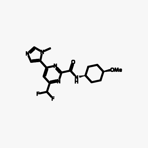 CO[C@H]1CC[C@H](NC(=O)c2nc(-c3cncn3C)cc(C(F)F)n2)CC1